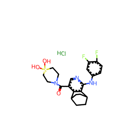 Cl.O=C(c1cnc(Nc2ccc(F)c(F)c2)c2c1C1CCC2CC1)N1CCS(O)(O)CC1